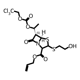 C=CCOC(=O)C1C(SCCO)S[C@@H]2[C@@H](C(C)OC(=O)OCC(Cl)(Cl)Cl)C(=O)N12